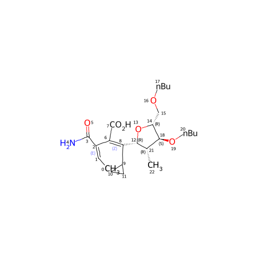 C/C=C(C(N)=O)\C(C(=O)O)=C(/C1CC1)[C@@H]1O[C@H](COCCCC)[C@@H](OCCCC)[C@@H]1C